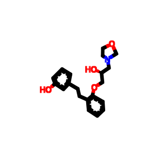 Oc1cccc(CCc2ccccc2OC[C@@H](O)CN2CCOC2)c1